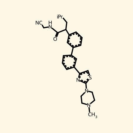 CC(C)CC(C(=O)NCC#N)c1cccc(-c2cccc(-c3csc(N4CCN(C)CC4)n3)c2)c1